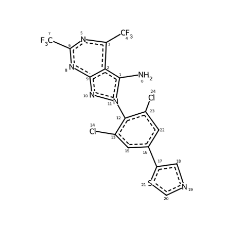 Nc1c2c(C(F)(F)F)nc(C(F)(F)F)nc2nn1-c1c(Cl)cc(-c2cncs2)cc1Cl